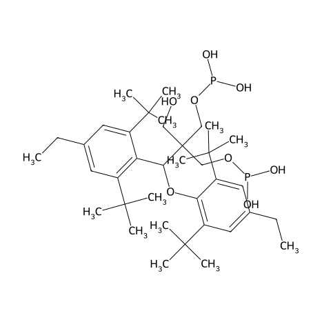 CCc1cc(C(C)(C)C)c(OC(c2c(C(C)(C)C)cc(CC)cc2C(C)(C)C)C(CO)(COP(O)O)COP(O)O)c(C(C)(C)C)c1